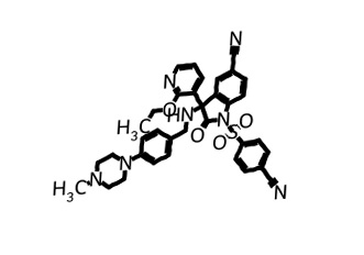 CCOc1ncccc1C1(NCc2ccc(N3CCN(C)CC3)cc2)C(=O)N(S(=O)(=O)c2ccc(C#N)cc2)c2ccc(C#N)cc21